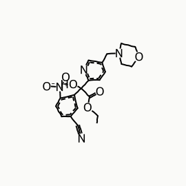 CCOC(=O)C(O)(c1ccc(CN2CCOCC2)cn1)c1cc(C#N)ccc1[N+](=O)[O-]